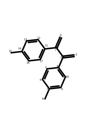 C=C(C(=C)c1ccc(C)cc1)c1ccc(C)cc1